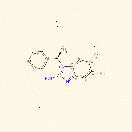 C[C@H](c1ccccc1)n1c(N)nc2cc(F)c(Br)cc21